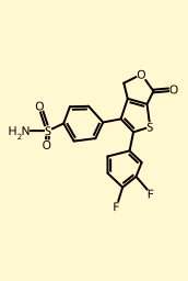 NS(=O)(=O)c1ccc(-c2c(-c3ccc(F)c(F)c3)sc3c2COC3=O)cc1